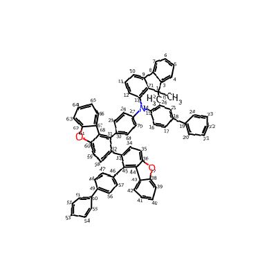 CC1(C)c2ccccc2-c2cccc(N(c3ccc(-c4ccccc4)cc3)c3ccc(-c4c(-c5ccc6oc7ccccc7c6c5-c5ccc(-c6ccccc6)cc5)ccc5oc6ccccc6c45)cc3)c21